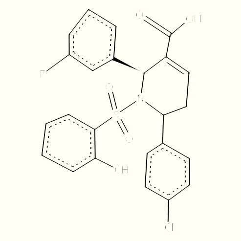 Cc1ccccc1S(=O)(=O)N1C(c2ccc(Cl)cc2)CC=C(C(=O)O)[C@@H]1c1cccc(F)c1